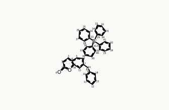 O=c1ccc2ccc([I+]c3ccccc3)cc2o1.c1ccc([B-](c2ccccc2)(c2ccccc2)c2ccccc2)cc1